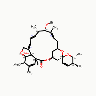 CCO[C@@H]1/C(C)=C/CC2C[C@@H](C[C@]3(C=C[C@H](C)[C@@H](C(C)CC)O3)O2)OC(=O)[C@@H]2C=C(C)C(OC)[C@H]3OC/C(=C\C=C\[C@@H]1C)[C@]32O